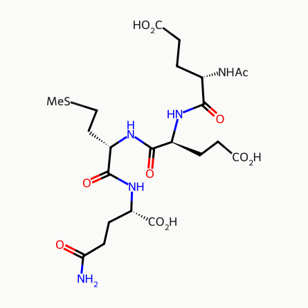 CSCC[C@H](NC(=O)[C@H](CCC(=O)O)NC(=O)[C@H](CCC(=O)O)NC(C)=O)C(=O)N[C@@H](CCC(N)=O)C(=O)O